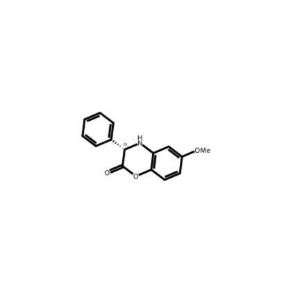 COc1ccc2c(c1)N[C@@H](c1ccccc1)C(=O)O2